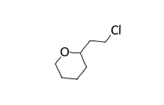 ClCCC1CCCCO1